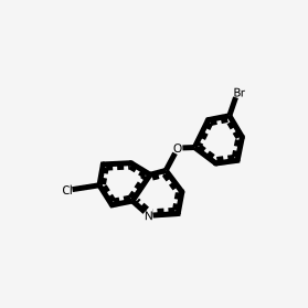 Clc1ccc2c(Oc3cccc(Br)c3)ccnc2c1